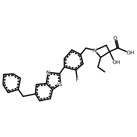 CCC1N(Cc2ccc(-c3nc4cc(Cc5ccccc5)ccc4s3)c(F)c2)CC1(O)C(=O)O